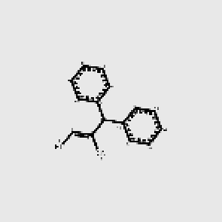 CCC=C(C#N)C(c1ccccc1)c1ccccc1